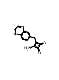 Nc1c(Cc2ccc3c(c2)N=CCN3)c(=O)c1=O